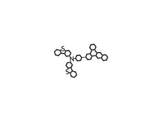 c1ccc2cc3c4ccc(-c5ccc(N(c6ccc7sc8ccccc8c7c6)c6ccc7sc8ccccc8c7c6)cc5)cc4c4ccccc4c3cc2c1